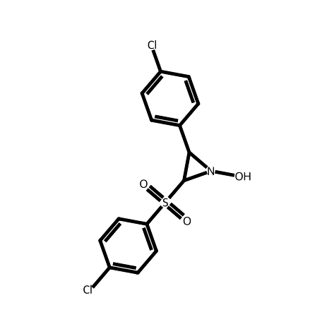 O=S(=O)(c1ccc(Cl)cc1)C1C(c2ccc(Cl)cc2)N1O